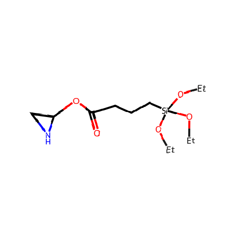 CCO[Si](CCCC(=O)OC1CN1)(OCC)OCC